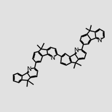 CC1(C)c2ccc(-c3ccc4c(n3)-c3cc(-c5ccc6c(n5)-c5cc(-c7ccc8c(n7)-c7ccccc7C8(C)C)ccc5C6(C)C)ccc3C4(C)C)cc2-c2ncccc21